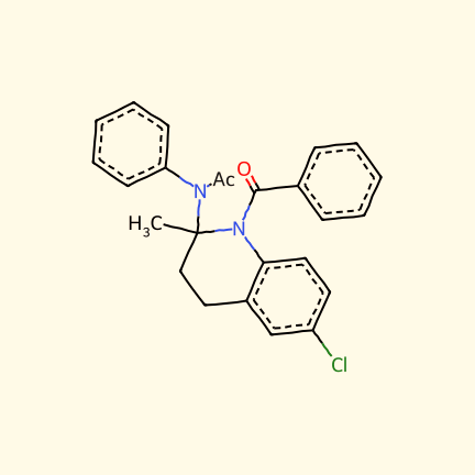 CC(=O)N(c1ccccc1)C1(C)CCc2cc(Cl)ccc2N1C(=O)c1ccccc1